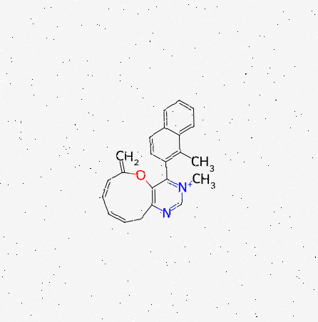 C=C1/C=C\C=C/Cc2nc[n+](C)c(-c3ccc4ccccc4c3C)c2O1